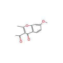 COc1ccc2c(=O)c(C(C)=O)c(C)oc2c1